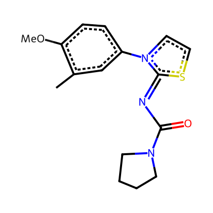 COc1ccc(-n2ccs/c2=N\C(=O)N2CCCC2)cc1C